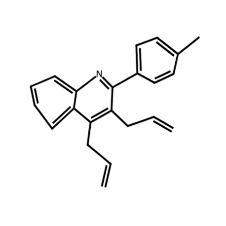 C=CCc1c(-c2ccc(C)cc2)nc2ccccc2c1CC=C